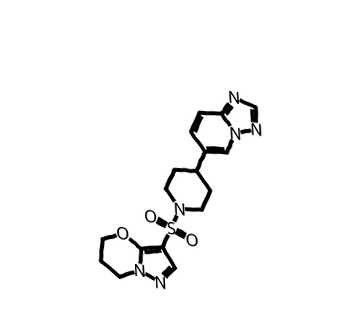 O=S(=O)(c1cnn2c1OCCC2)N1CCC(c2ccc3ncnn3c2)CC1